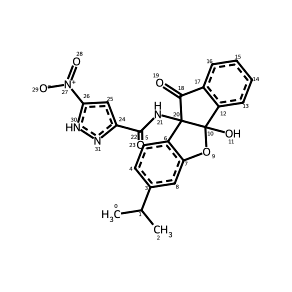 CC(C)c1ccc2c(c1)OC1(O)c3ccccc3C(=O)C21NC(=O)c1cc([N+](=O)[O-])[nH]n1